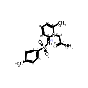 Cc1ccc(S(=O)(=O)/N=c2\cccc(C)n2CC(N)=O)cc1